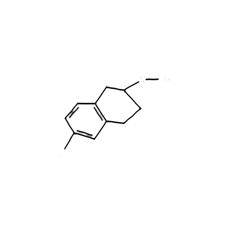 CCCCNC1CCc2cc(Br)ccc2C1